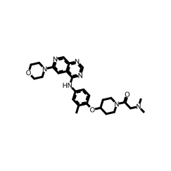 Cc1cc(Nc2ncnc3cnc(N4CCOCC4)cc23)ccc1OC1CCN(C(=O)CN(C)C)CC1